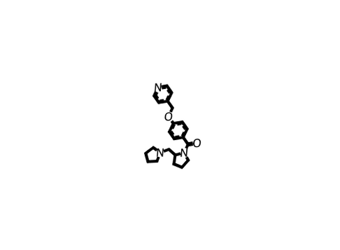 O=C(c1ccc(OCc2ccncc2)cc1)N1CCCC1CN1CCCC1